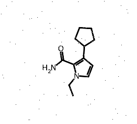 CCn1ccc(C2CCCC2)c1C(N)=O